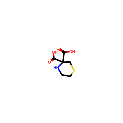 O=C(O)C1(C(=O)O)CSCCN1